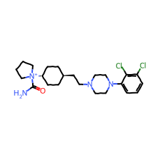 NC(=O)[N+]1([C@H]2CC[C@H](CCN3CCN(c4cccc(Cl)c4Cl)CC3)CC2)CCCC1